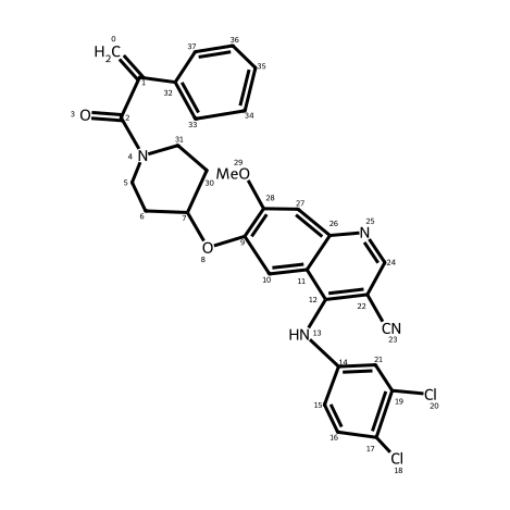 C=C(C(=O)N1CCC(Oc2cc3c(Nc4ccc(Cl)c(Cl)c4)c(C#N)cnc3cc2OC)CC1)c1ccccc1